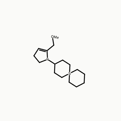 COCC1=CCCN1C1CC[Si]2(CCCCC2)CC1